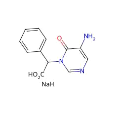 Nc1cncn(C(C(=O)O)c2ccccc2)c1=O.[NaH]